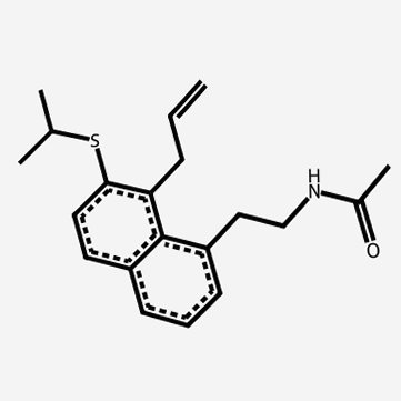 C=CCc1c(SC(C)C)ccc2cccc(CCNC(C)=O)c12